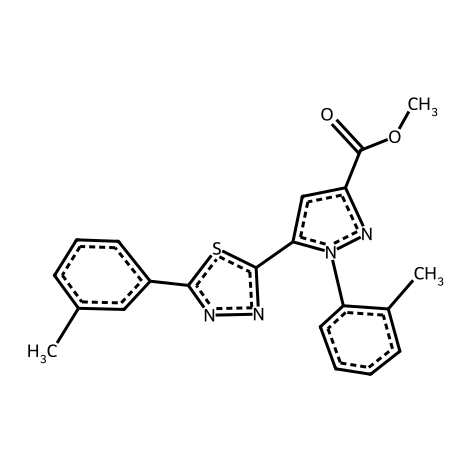 COC(=O)c1cc(-c2nnc(-c3cccc(C)c3)s2)n(-c2ccccc2C)n1